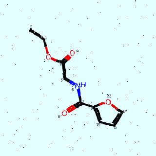 CCOC(=O)CNC(=O)c1ccco1